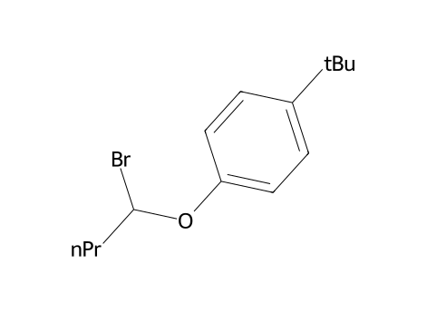 CCCC(Br)Oc1ccc(C(C)(C)C)cc1